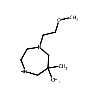 COCCN1CCNCC(C)(C)C1